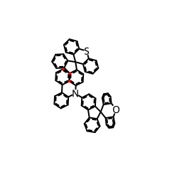 c1ccc(-c2ccccc2N(c2ccc3c(c2)-c2ccccc2C32c3ccccc3Oc3ccccc32)c2ccc3c(c2)-c2ccccc2C32c3ccccc3Sc3ccccc32)cc1